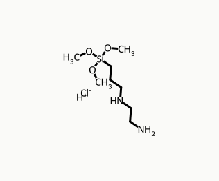 CO[Si](CCCNCCN)(OC)OC.[Cl-].[H+]